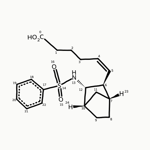 O=C(O)CCC/C=C\[C@H]1[C@@H]2CC[C@@H](C2)[C@@H]1NS(=O)(=O)c1ccccc1